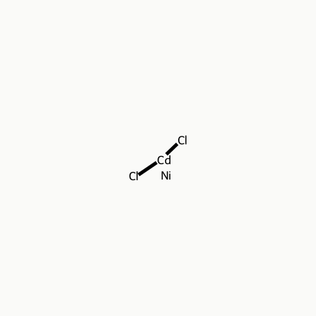 [Cl][Cd][Cl].[Ni]